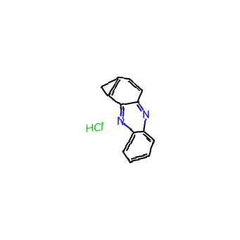 Cl.c1ccc2nc3c4c(ccc3nc2c1)C4